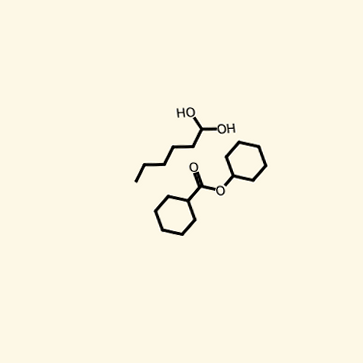 CCCCCC(O)O.O=C(OC1CCCCC1)C1CCCCC1